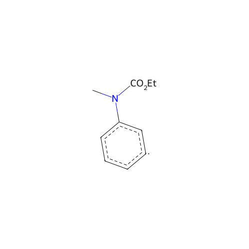 CCOC(=O)N(C)c1c[c]ccc1